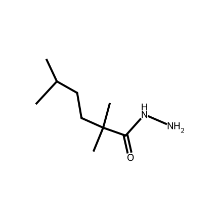 CC(C)CCC(C)(C)C(=O)NN